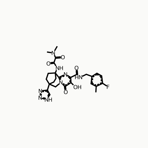 Cc1cc(CNC(=O)c2nc3n(c(=O)c2O)CC2(c4c[nH]nn4)CCC3(NC(=O)C(=O)N(C)C)CC2)ccc1F